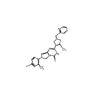 Cc1cc(F)ccc1N1C=C2N=C(C3CN(Cc4cnccn4)CC3C)NC(=O)N2C1